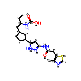 CCC(CC1CCC(c2cc(NC(=O)Cc3scnc3C)n[nH]2)C1)NC(=O)O